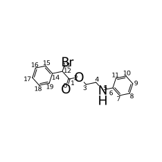 O=C(OCCNc1ccccc1)C(Br)c1ccccc1